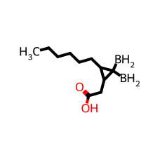 BC1(B)C(CCCCCC)C1CC(=O)O